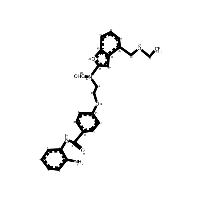 Nc1ccccc1NC(=O)c1ccc(OCCN(C=O)c2cc3c(COCC(F)(F)F)cccc3o2)cc1